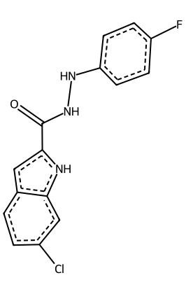 O=C(NNc1ccc(F)cc1)c1cc2ccc(Cl)cc2[nH]1